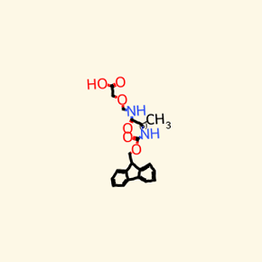 C[C@H](NC(=O)OCC1c2ccccc2-c2ccccc21)C(=O)NCOCC(=O)O